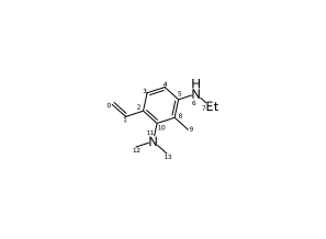 C=Cc1ccc(NCC)c(C)c1N(C)C